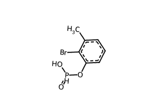 Cc1cccc(O[PH](=O)O)c1Br